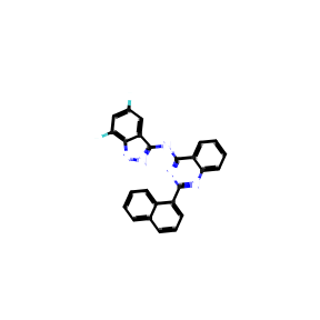 Fc1cc(F)c2[nH]nc(Nc3nc(-c4cccc5ccccc45)nc4ccccc34)c2c1